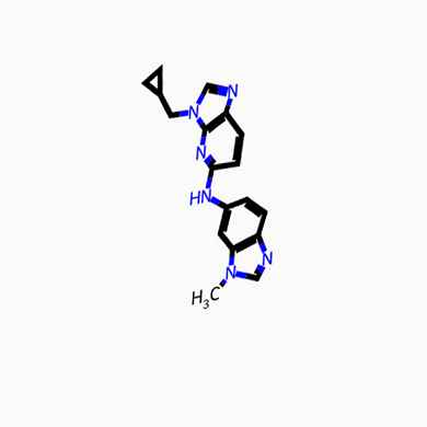 Cn1cnc2ccc(Nc3ccc4ncn(CC5CC5)c4n3)cc21